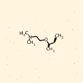 C=CC(=C)OCCN(C)C